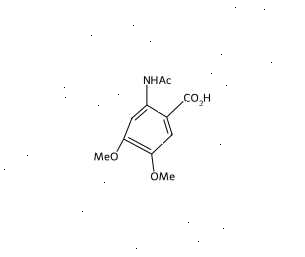 COc1cc(NC(C)=O)c(C(=O)O)cc1OC